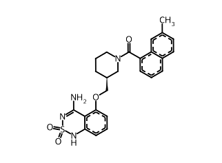 Cc1ccc2cccc(C(=O)N3CCC[C@H](COc4cccc5c4C(N)=NS(=O)(=O)N5)C3)c2c1